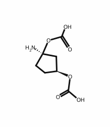 N[C@@]1(OC(=O)O)CC[C@H](OC(=O)O)C1